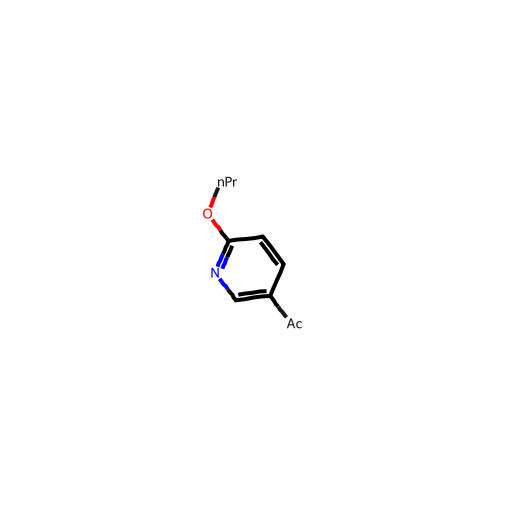 CCCOc1ccc(C(C)=O)cn1